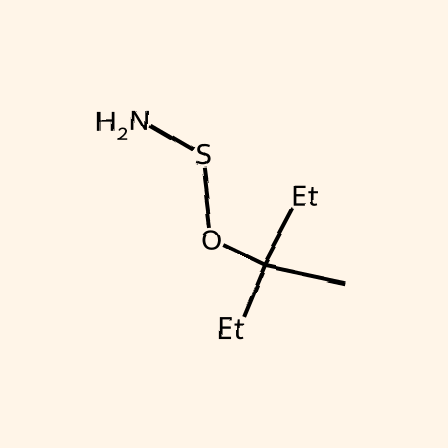 CCC(C)(CC)OSN